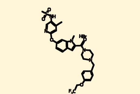 Br.Cc1cc(Oc2ccc3cc(C(=O)N4CCN(Cc5ccc(OCC(F)(F)F)cc5)CC4)n(C)c3c2)ncc1NS(C)(=O)=O